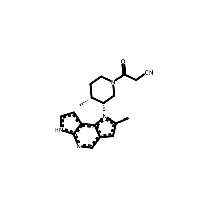 Cc1cc2cnc3[nH]ccc3c2n1[C@H]1CN(C(=O)CC#N)CC[C@H]1C